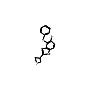 Brc1ccc2[nH]c(C3COC3)nc2c1Oc1ccccc1